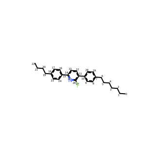 CCCCCCCc1ccc(-c2ccc(-c3ccc(CCCC)cc3)nc2F)cc1